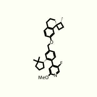 COc1cc(-c2ccc(COc3ccc4c(c3)[C@]3(CCC4)CC[C@H]3C)cc2[C@@H]2CCCC2(C)C)c(F)cn1